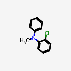 CN(c1ccccc1)c1ccccc1Cl